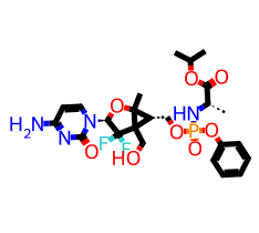 CC(C)OC(=O)[C@H](C)NP(=O)(OC[C@H]1C2(C)O[C@@H](n3ccc(N)nc3=O)C(F)(F)C12CO)Oc1ccccc1